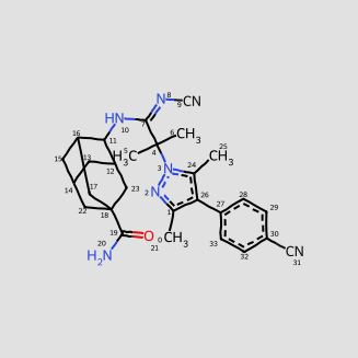 Cc1nn(C(C)(C)/C(=N\C#N)NC2C3CC4CC2CC(C(N)=O)(C4)C3)c(C)c1-c1ccc(C#N)cc1